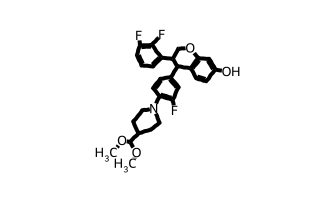 COC(OC)C1CCN(c2ccc(C3c4ccc(O)cc4OCC3c3cccc(F)c3F)cc2F)CC1